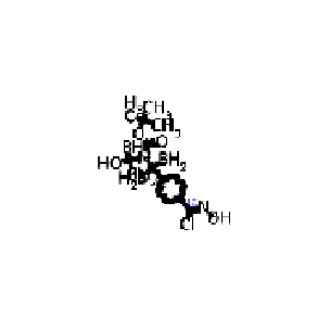 BC(B)(O)N(C(=O)OC(C)(C)C)C(B)(B)c1ccc(/C(Cl)=N/O)cc1